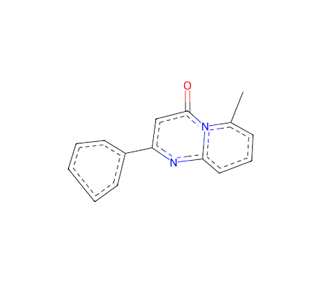 Cc1cccc2nc(-c3ccccc3)cc(=O)n12